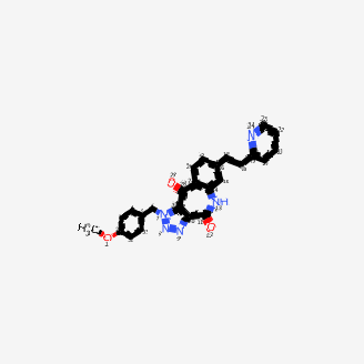 COc1ccc(Cn2nnc3c(=O)[nH]c4cc(C=Cc5ccccn5)ccc4c(=O)c32)cc1